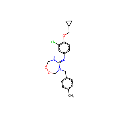 Cc1ccc(CN2COOCN/C2=N\c2ccc(OCC3CC3)c(Cl)c2)cc1